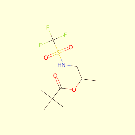 CC(CNS(=O)(=O)C(F)(F)F)OC(=O)C(C)(C)C